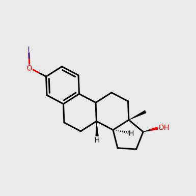 C[C@]12CCC3c4ccc(OI)cc4CC[C@H]3[C@@H]1CC[C@@H]2O